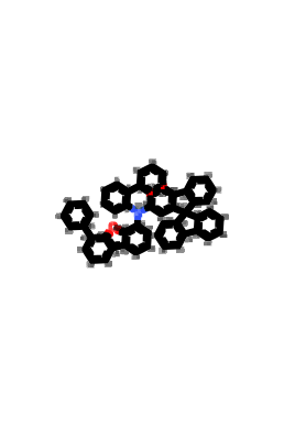 c1ccc(-c2ccccc2N(c2ccc3c(c2)C2(c4ccccc4-c4ccccc42)c2ccccc2-3)c2cccc3c2oc2c(-c4ccccc4)cccc23)cc1